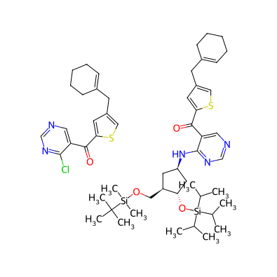 CC(C)[Si](O[C@H]1C[C@H](Nc2ncncc2C(=O)c2cc(CC3=CCCCC3)cs2)C[C@@H]1CO[Si](C)(C)C(C)(C)C)(C(C)C)C(C)C.O=C(c1cc(CC2=CCCCC2)cs1)c1cncnc1Cl